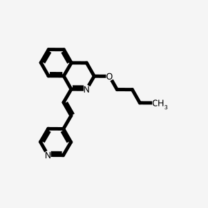 CCCCOC1Cc2ccccc2C(C=Cc2ccncc2)=N1